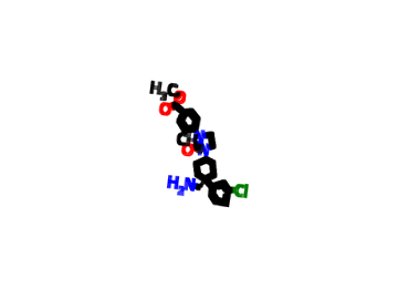 COC(=O)c1ccc(N2CCN([C@H]3CC[C@](CN)(c4cccc(Cl)c4)CC3)C2=O)c(C)c1